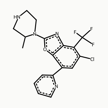 CC1CNCCN1c1nc2c(C(F)(F)F)c(Cl)cc(-c3ccccn3)c2o1